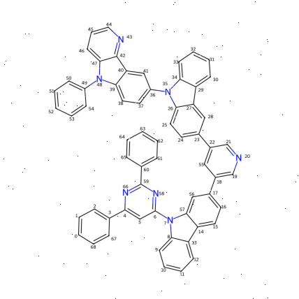 c1ccc(-c2cc(-n3c4ccccc4c4ccc(-c5cncc(-c6ccc7c(c6)c6ccccc6n7-c6ccc7c(c6)c6ncccc6n7-c6ccccc6)c5)cc43)nc(-c3ccccc3)n2)cc1